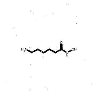 NCCCCCC(=O)NO